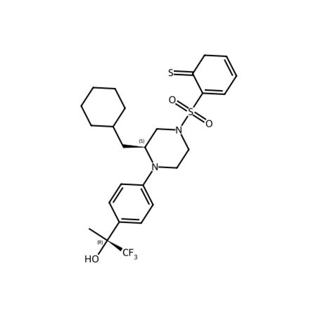 C[C@@](O)(c1ccc(N2CCN(S(=O)(=O)C3=CC=CCC3=S)C[C@@H]2CC2CCCCC2)cc1)C(F)(F)F